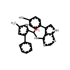 Cc1cc(-c2ccccc2)c(C(C)Nc2ncnc3[nH]cc(-c4ccc(O)cc4)c23)[nH]1